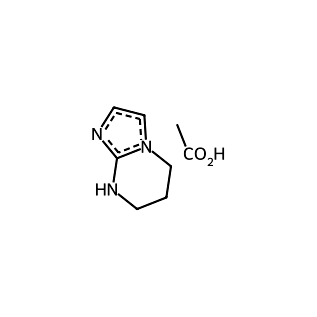 CC(=O)O.c1cn2c(n1)NCCC2